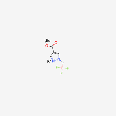 CC(C)(C)OC(=O)c1cnn(C[B-](F)(F)F)c1.[K+]